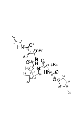 C=CCNC(=O)C(=O)C(CCC)NC(=O)[C@@H]1[C@@H]2C(CN1C(=O)[C@@H](NC(=O)OC1CC[C@H](C)C1)C(C)(C)C)C2(C)C